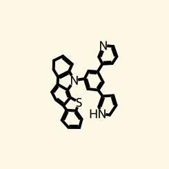 C1=Cc2c(c3ccc4c5ccccc5sc4c3n2-c2cc(C3=CNCC=C3)cc(-c3cccnc3)c2)CC1